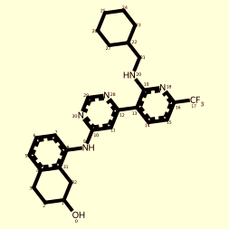 OC1CCc2cccc(Nc3cc(-c4ccc(C(F)(F)F)nc4NCC4CCCCC4)ncn3)c2C1